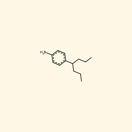 Bc1ccc(C(CCC)CCC)cc1